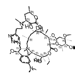 CC[C@H]1OC(=O)[C@H](C)[C@@H](O[C@H]2C[C@@](C)(OC)[C@@H](O)[C@H](C)O2)[C@H](C)[C@@H](O[C@@H]2O[C@H](C)C[C@H](N(C)CCc3cn([C@H](CF)[C@H](OC)c4ccc(N(C)C)cc4)nn3)[C@H]2O)[C@](C)(O)C[C@@H](C)CN(C)[C@H](C)[C@@H](O)[C@]1(C)O